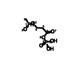 C[PH](=O)OCCC(=O)OP(=O)(O)O